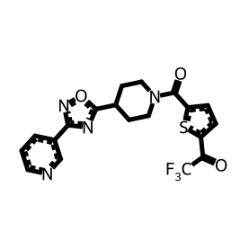 O=C(c1ccc(C(=O)C(F)(F)F)s1)N1CCC(c2nc(-c3cccnc3)no2)CC1